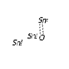 [O]=[Sn].[Sn].[Sn]